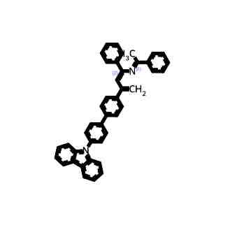 C=C(/C=C(\N=C(/C)c1ccccc1)c1ccccc1)c1ccc(-c2ccc(-n3c4ccccc4c4ccccc43)cc2)cc1